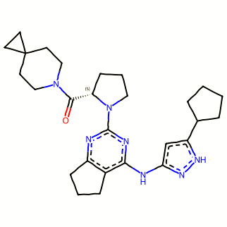 O=C([C@@H]1CCCN1c1nc2c(c(Nc3cc(C4CCCC4)[nH]n3)n1)CCC2)N1CCC2(CC1)CC2